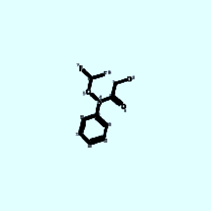 [O]CC(=O)N(OC(F)F)c1ccccc1